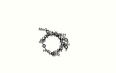 COc1ccc(C[C@@H]2NC(=O)[C@H]([C@@H](C)OCC(C)C)NC(=O)[C@@H]3C[C@H](F)CN3C(=O)[C@H](Cc3c[nH]c4ccc(F)cc34)NC(=O)[C@H](Cc3c[nH]c4ccc(F)cc34)NC(=O)[C@@H](C)NC(=O)CNC(=O)[C@@H](NC(C)=O)CCNCc3ccc(cc3)C[C@@H](C(C)=O)NC(=O)[C@]3(C)CCCN3C2=O)cc1